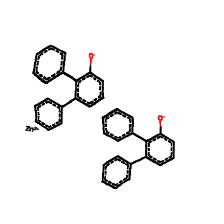 [O-]c1cccc(-c2ccccc2)c1-c1ccccc1.[O-]c1cccc(-c2ccccc2)c1-c1ccccc1.[Zn+2]